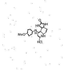 COc1ccc(NC2=C3c4[nH]c(=O)[nH]c4C=CC3NC(C)=C2)cc1.Cl